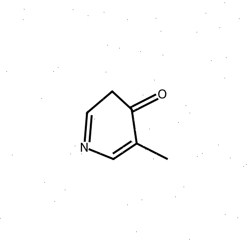 CC1=CN=CCC1=O